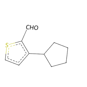 O=Cc1sccc1C1CCCC1